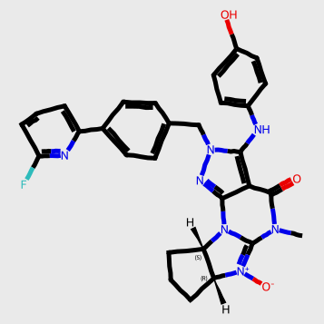 CN1C(=O)c2c(nn(Cc3ccc(-c4cccc(F)n4)cc3)c2Nc2ccc(O)cc2)N2C1=[N+]([O-])[C@@H]1CCC[C@@H]12